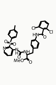 COC(=O)C(Cc1ccc(NC(=O)c2c(Cl)cccc2Cl)cc1)NC(=O)Nc1cccnc1S(=O)(=O)c1ccc(C)cc1